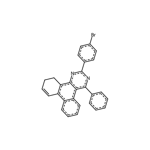 Brc1ccc(-c2nc(-c3ccccc3)c3c(n2)c2c(c4ccccc43)C=CCC2)cc1